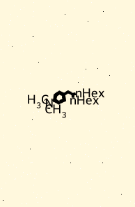 CCCCCCC(CCCCCC)Cc1ccc(N(C)C)cc1